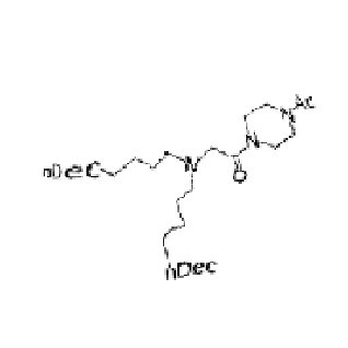 CCCCCCCCCCCCCCN(CCCCCCCCCCCCCC)CC(=O)N1CCN(C(C)=O)CC1